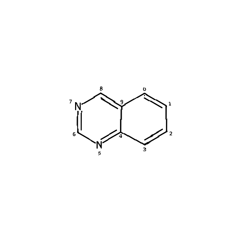 [c]1cccc2ncncc12